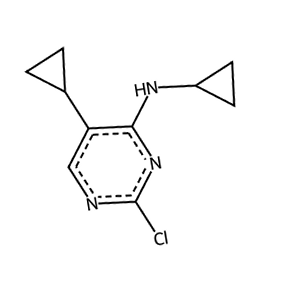 Clc1ncc(C2CC2)c(NC2CC2)n1